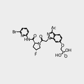 CC(=O)c1nn(CC(=O)N2C[C@H](F)C[C@H]2C(=O)Nc2cccc(Br)n2)c2cc(OCP(=O)(O)O)ccc12